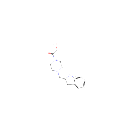 O=C(CO)N1CCN(CC2Cc3ccccc3N2)CC1